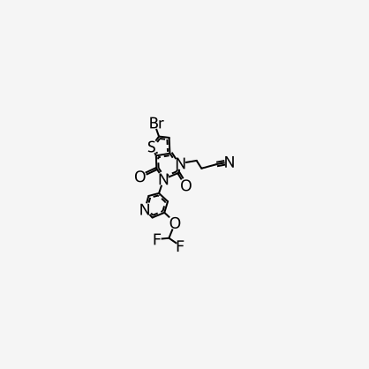 N#CCCn1c(=O)n(-c2cncc(OC(F)F)c2)c(=O)c2sc(Br)cc21